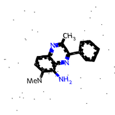 CNc1ccc2nc(C)c(-c3ccccc3)nc2c1N